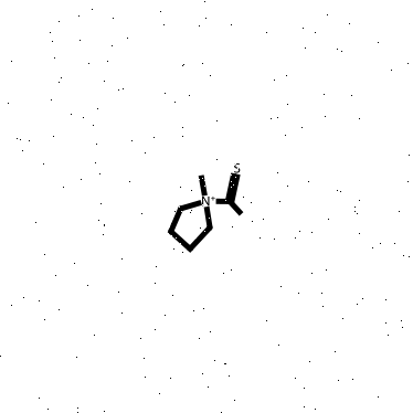 CC(=S)[N+]1(C)CCCC1